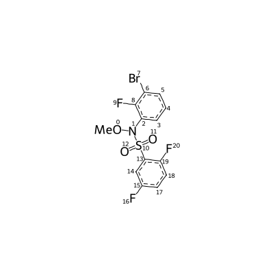 CON(c1cccc(Br)c1F)S(=O)(=O)c1cc(F)ccc1F